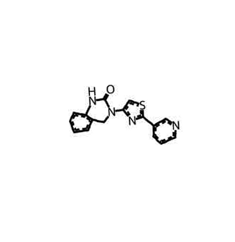 O=C1Nc2ccccc2CN1c1csc(-c2cccnc2)n1